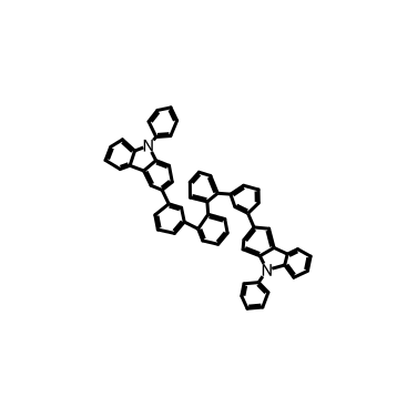 c1ccc(-n2c3ccccc3c3cc(-c4cccc(-c5ccccc5-c5ccccc5-c5cccc(-c6ccc7c(c6)c6ccccc6n7-c6ccccc6)c5)c4)ccc32)cc1